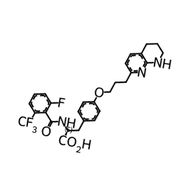 O=C(N[C@@H](Cc1ccc(OCCCc2ccc3c(n2)NCCC3)cc1)C(=O)O)c1c(F)cccc1C(F)(F)F